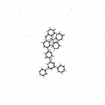 c1ccc(-c2cc(-c3ccccc3)nc(-c3ccc(-c4ccc5c(c4)C(c4ccccc4)(c4ccccc4)c4ccccc4S5)cc3)c2)cc1